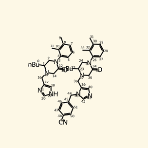 CCCCC1CN(c2cccc(C)c2C)C(=O)CN1Cc1c[nH]cn1.CCCCC1CN(c2cccc(C)c2C)C(=O)CN1Cc1cncn1Cc1ccc(C#N)cc1